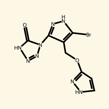 O=c1[nH]nnn1-c1n[nH]c(Br)c1COc1cc[nH]n1